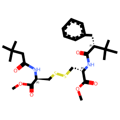 COC(=O)[C@H](CSSC[C@H](NC(=O)[C@H](Cc1ccccc1)C(C)(C)C)C(=O)OC)NC(=O)CC(C)(C)C